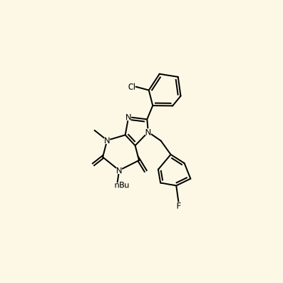 C=C1c2c(nc(-c3ccccc3Cl)n2Cc2ccc(F)cc2)N(C)C(=C)N1CCCC